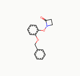 O=C1CCN1Oc1ccccc1OCc1ccccc1